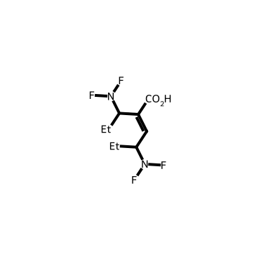 CCC(C=C(C(=O)O)C(CC)N(F)F)N(F)F